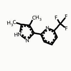 Cc1[nH]nc(-c2cccc(C(F)(F)F)n2)c1C